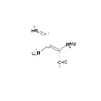 CN/C(C=O)=C(\C=N)[N+](=O)[O-]